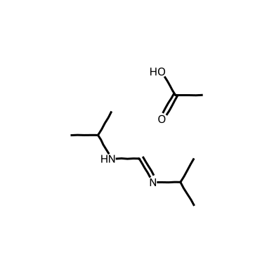 CC(=O)O.CC(C)N=CNC(C)C